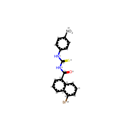 O=C(NC(=S)Nc1ccc([N+](=O)[O-])cc1)c1cccc2c(Br)cccc12